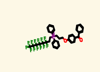 O=C(c1ccccc1)c1ccc(OCCC[PH](CCC(F)(F)C(F)(F)C(F)(F)C(F)(F)C(F)(F)C(F)(F)F)(c2ccccc2)c2ccccc2)cc1